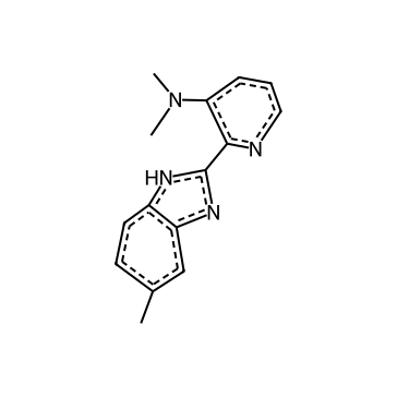 Cc1ccc2[nH]c(-c3ncccc3N(C)C)nc2c1